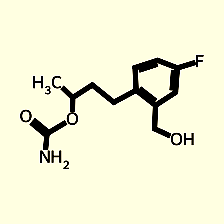 CC(CCc1ccc(F)cc1CO)OC(N)=O